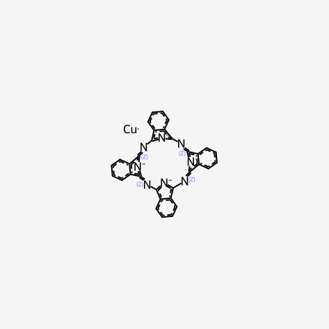 [Cu].c1ccc2c3[n-]c(c2c1)/N=c1\[n-]/c(c2ccccc12)=N\c1[n-]c(c2ccccc12)/N=c1\[n-]/c(c2ccccc12)=N\3